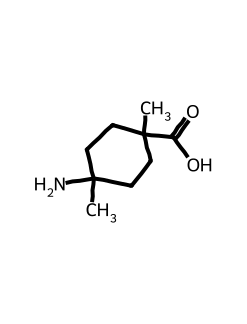 CC1(N)CCC(C)(C(=O)O)CC1